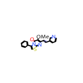 COc1c(/C=C/c2cccnc2)nc2scc(-c3ccccc3)n2c1=O